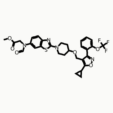 COC(=O)CN(C=O)c1ccc2nc(N3CCC(OCc4c(-c5ccccc5OC(F)(F)F)noc4C4CC4)CC3)sc2c1